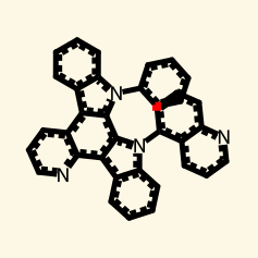 c1ccc(-n2c3ccccc3c3c4cccnc4c4c5ccccc5n(-c5cccc6ncccc56)c4c32)cc1